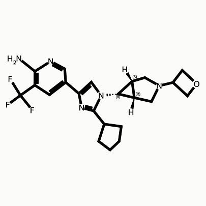 Nc1ncc(-c2cn([C@@H]3[C@@H]4CN(C5COC5)C[C@@H]43)c(C3CCCC3)n2)cc1C(F)(F)F